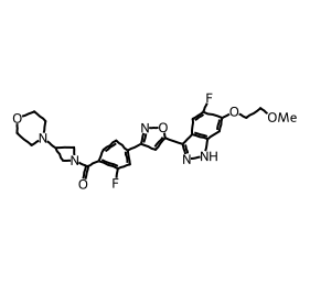 COCCOc1cc2[nH]nc(-c3cc(-c4ccc(C(=O)N5CC(N6CCOCC6)C5)c(F)c4)no3)c2cc1F